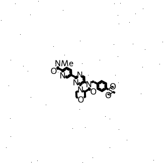 CNC(=O)c1ccc(-c2ncc3c(n2)N2CCOCC2C(=O)N3Cc2ccc(S(C)(=O)=O)cc2)cn1